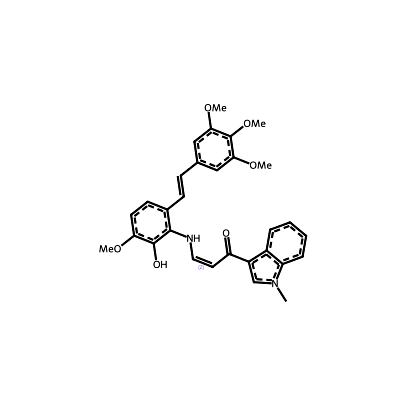 COc1ccc(C=Cc2cc(OC)c(OC)c(OC)c2)c(N/C=C\C(=O)c2cn(C)c3ccccc23)c1O